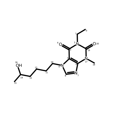 CCn1c(=O)c2c(ncn2CCCCC(C)O)n(C)c1=O